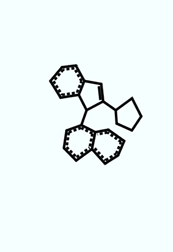 [c]1cccc2c1C=C(C1CCCC1)C2c1cccc2ccccc12